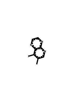 Cc1cnc2nccnc2c1I